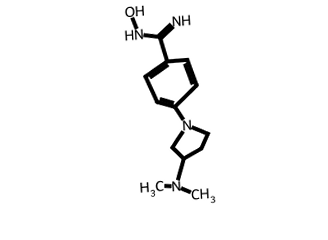 CN(C)C1CCN(c2ccc(C(=N)NO)cc2)C1